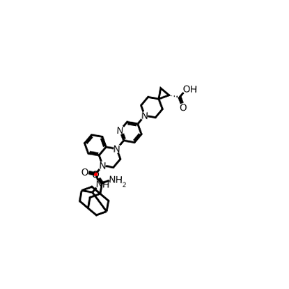 NC(=O)C12CC3CC(C1)C(NC(=O)N1CCN(c4ccc(N5CCC6(CC5)C[C@@H]6C(=O)O)cn4)c4ccccc41)C(C3)C2